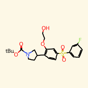 CC(C)(C)OC(=O)N1CCC(c2ccc(S(=O)(=O)c3cccc(F)c3)cc2OCCO)C1